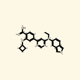 CCN(c1ccc2cocc2c1)c1cc(-c2ccc(C(=O)O)c(OC3CCC3)c2)ncn1